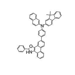 CC1(C)c2ccccc2-c2ccc(N(c3ccc(-c4ccc5c(c4)c4c(c6ccccc65)NC(c5ccccc5)O4)cc3)c3ccc4ccccc4c3)cc21